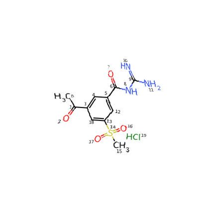 CC(=O)c1cc(C(=O)NC(=N)N)cc(S(C)(=O)=O)c1.Cl